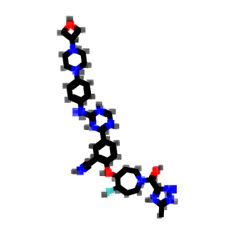 Cc1n[nH]c(C(=O)N2CC[C@@H](F)[C@@H](Oc3ccc(-c4ncnc(Nc5ccc(N6CCN(C7COC7)CC6)cc5)n4)cc3C#N)CC2)n1